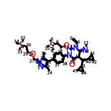 C=CN(COCCS(C)(C)C)/C(=N\C)C(C(=O)Nc1ccc(-c2c(C)nn(COCCS(C)(C)C)c2C)cc1)C(C1CC1)C1CC1